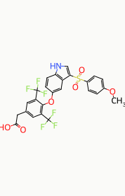 COc1ccc(S(=O)(=O)c2c[nH]c3ccc(Oc4c(C(F)(F)F)cc(CC(=O)O)cc4C(F)(F)F)cc23)cc1